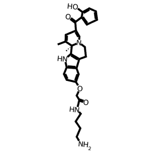 CC1=CC(C(=O)c2ccccc2O)=CN2CCc3c([nH]c4ccc(OCC(=O)NCCCCN)cc34)[C@@]12C